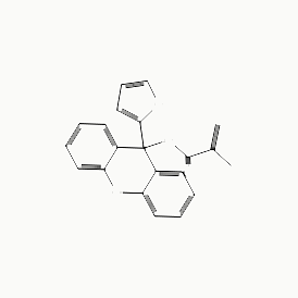 C=C(C)C(=O)OC1(c2ccco2)c2ccccc2Oc2ccccc21